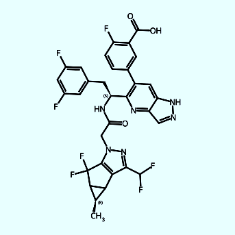 C[C@@H]1C2c3c(C(F)F)nn(CC(=O)N[C@@H](Cc4cc(F)cc(F)c4)c4nc5cn[nH]c5cc4-c4ccc(F)c(C(=O)O)c4)c3C(F)(F)C21